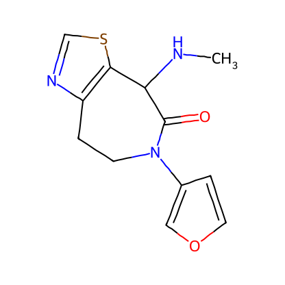 CNC1C(=O)N(c2ccoc2)CCc2ncsc21